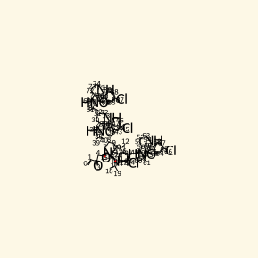 C=CC(=O)CCN1CCC[C@H](CC)[C@@]1(C(=O)NC(C)C)c1ccc(Cl)cc1.CCC1CCCN[C@@]1(C(=O)NC(C)C)c1ccc(Cl)cc1.CCC1CCCN[C@@]1(C(=O)NC(C)C)c1ccc(Cl)cc1.CCC1CCCN[C@@]1(C(=O)NC(C)C)c1ccc(Cl)cc1